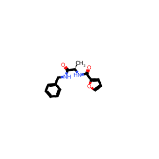 C[C@H](NC(=O)c1ccco1)C(=O)NCc1ccccc1